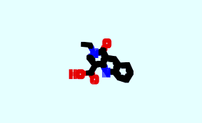 CCn1cc(C(=O)O)c2nc3ccccc3cc2c1=O